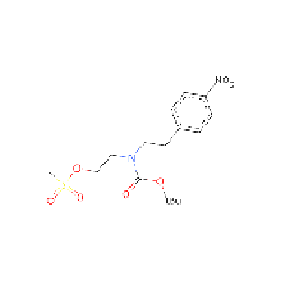 CC(C)(C)OC(=O)N(CCOS(C)(=O)=O)CCc1ccc([N+](=O)[O-])cc1